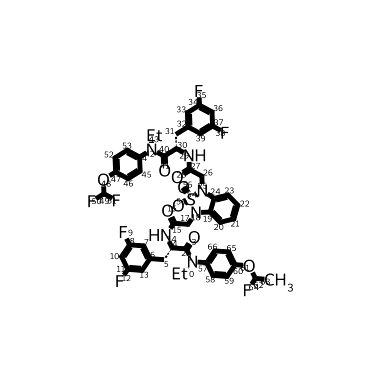 CCN(C(=O)[C@H](Cc1cc(F)cc(F)c1)NC(=O)CN1c2ccccc2N(CC(=O)N[C@@H](Cc2cc(F)cc(F)c2)C(=O)N(CC)c2ccc(OC(F)F)cc2)S1(=O)=O)c1ccc(OC(C)F)cc1